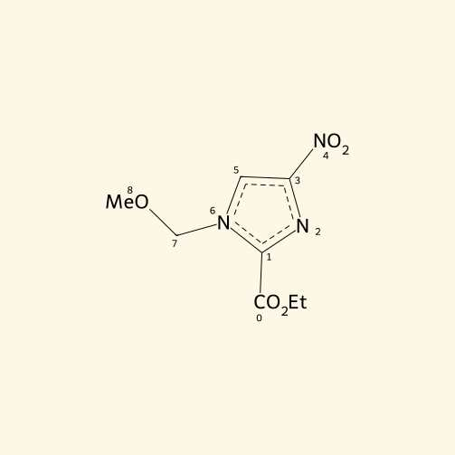 CCOC(=O)c1nc([N+](=O)[O-])cn1COC